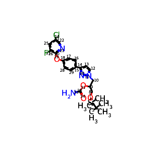 CC(C)(C)[Si](C)(C)OCC(Cn1ccc(-c2ccc(Oc3ncc(Cl)cc3F)cc2)n1)OC(N)=O